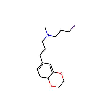 CN(CCCI)CCCC1=CCC2OCCOC2=C1